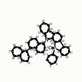 O=P1(c2ccccc2)c2ccccc2-c2ccc3c4ccccc4n(-c4cccc5c(-c6cccc7ccccc67)cccc45)c3c21